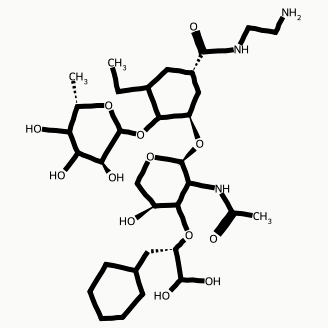 CCC1C[C@H](C(=O)NCCN)C[C@@H](O[C@@H]2OC[C@H](O)C(O[C@@H](CC3CCCCC3)C(O)O)C2NC(C)=O)C1OC1O[C@@H](C)C(O)C(O)[C@@H]1O